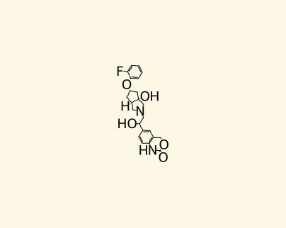 O=C1Nc2ccc([C@@H](O)CN3C[C@H]4C[C@H](Oc5ccccc5F)C[C@@]4(O)C3)cc2CO1